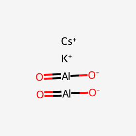 [Cs+].[K+].[O]=[Al][O-].[O]=[Al][O-]